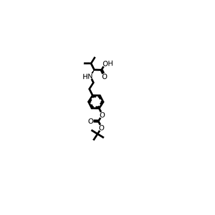 CC(C)[C@H](NCCc1ccc(OC(=O)OC(C)(C)C)cc1)C(=O)O